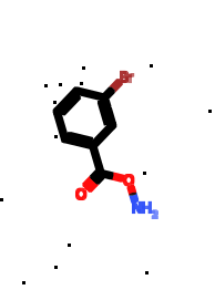 NOC(=O)c1cccc(Br)c1